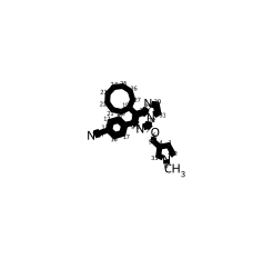 CN1CCC(COc2nc(-c3ccc(C#N)cc3)c(C3CCCCCCCC3)c3nccn23)C1